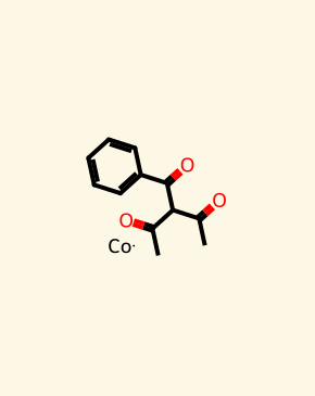 CC(=O)C(C(C)=O)C(=O)c1ccccc1.[Co]